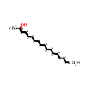 CCCC[C@@H](O)C=CCCCCCCCCCCCCCC(=O)O